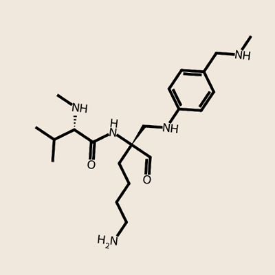 CNCc1ccc(NC[C@@](C=O)(CCCCN)NC(=O)[C@@H](NC)C(C)C)cc1